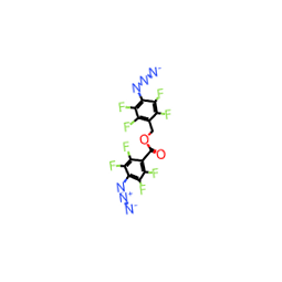 [N-]=[N+]=Nc1c(F)c(F)c(COC(=O)c2c(F)c(F)c(N=[N+]=[N-])c(F)c2F)c(F)c1F